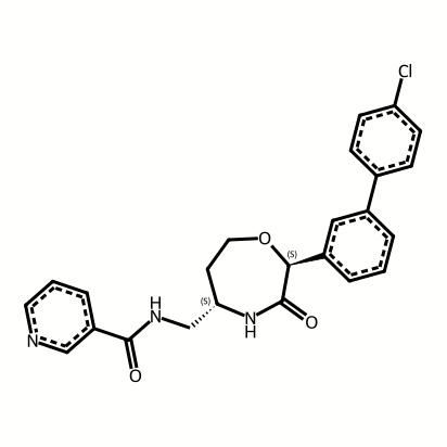 O=C(NC[C@@H]1CCO[C@@H](c2cccc(-c3ccc(Cl)cc3)c2)C(=O)N1)c1cccnc1